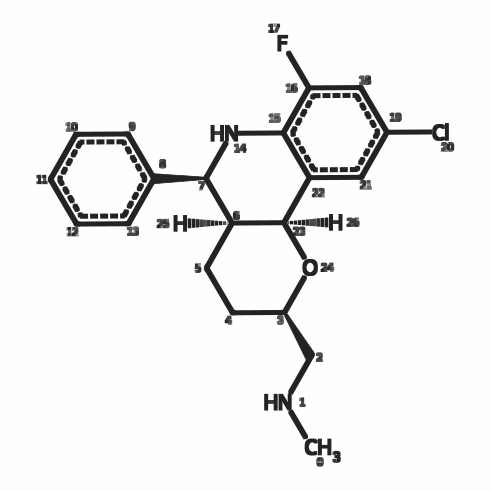 CNC[C@H]1CC[C@H]2[C@@H](c3ccccc3)Nc3c(F)cc(Cl)cc3[C@H]2O1